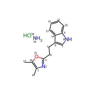 Cc1nc(CCc2c[nH]c3ccccc23)oc1C.Cl.N